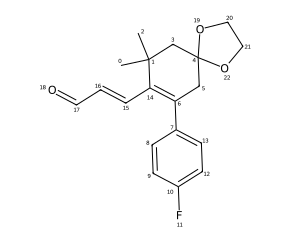 CC1(C)CC2(CC(c3ccc(F)cc3)=C1C=CC=O)OCCO2